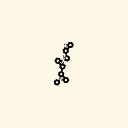 c1ccc(-n2c3ccccc3c3cc(-c4ccc5c(c4)c4ccccc4n5-c4cccc(-c5ccc6oc7ccccc7c6c5)n4)ccc32)cc1